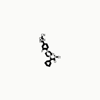 CCN(CC)C(=O)C(c1ccccc1)N1CCN(c2ccc(-c3noc(C#N)n3)cc2F)CC1